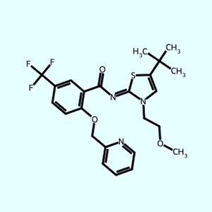 COCCn1cc(C(C)(C)C)sc1=NC(=O)c1cc(C(F)(F)F)ccc1OCc1ccccn1